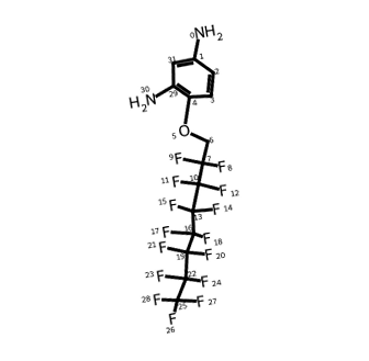 Nc1ccc(OCC(F)(F)C(F)(F)C(F)(F)C(F)(F)C(F)(F)C(F)(F)C(F)(F)F)c(N)c1